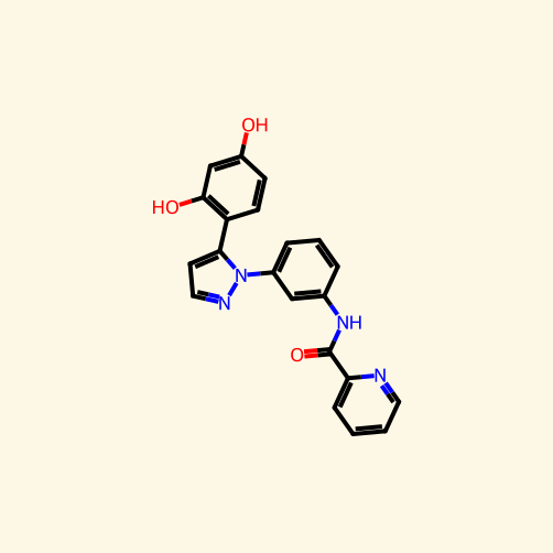 O=C(Nc1cccc(-n2nccc2-c2ccc(O)cc2O)c1)c1ccccn1